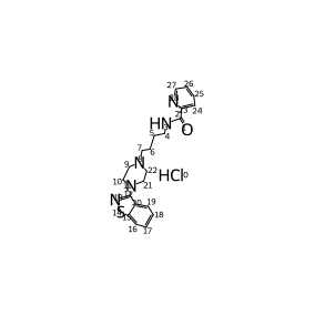 Cl.O=C(NCCCCN1CCN(c2nsc3ccccc23)CC1)c1ccccn1